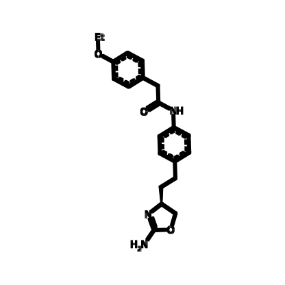 CCOc1ccc(CC(=O)Nc2ccc(CC[C@H]3COC(N)=N3)cc2)cc1